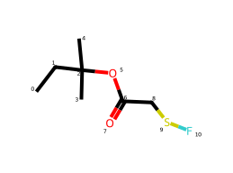 CCC(C)(C)OC(=O)CSF